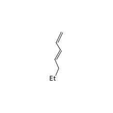 [CH2]CC/C=C/C=C